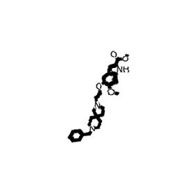 COC(=O)c1cc2cc(OCCN3CCC4(CCN(Cc5ccccc5)CC4)C3)c(OC)cc2[nH]1